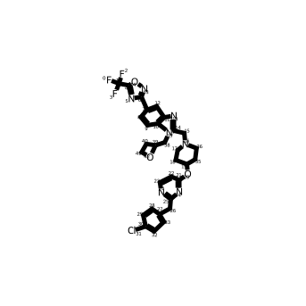 FC(F)(F)c1nc(-c2ccc3c(c2)nc(CN2CCC(Oc4ccnc(Cc5ccc(Cl)cc5)n4)CC2)n3CC2CCO2)no1